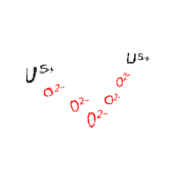 [O-2].[O-2].[O-2].[O-2].[O-2].[U+5].[U+5]